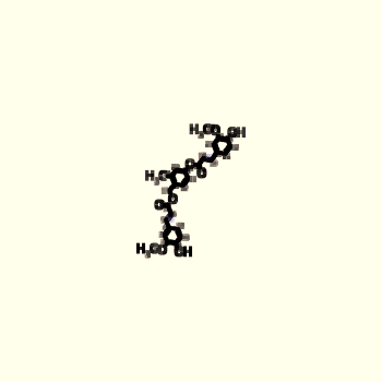 COc1cc(/C=C/C(=O)OCc2ccc(OC(=O)/C=C/c3ccc(O)c(OC)c3)cc2C)ccc1O